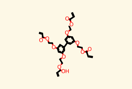 C=CC(=O)OCCOc1cc(OCCOC(=O)C=C)cc(-c2cc(OCCOC(=O)C=C)cc(OCCOC(O)C=C)c2)c1